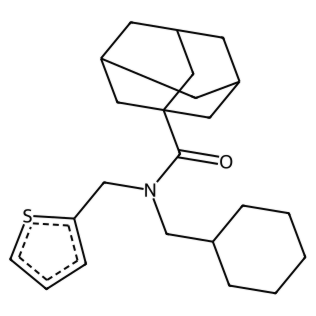 O=C(N(Cc1cccs1)CC1CCCCC1)C12CC3CC(CC(C3)C1)C2